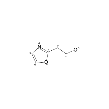 [O]CCc1ncco1